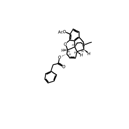 CC(=O)Oc1ccc2c3c1O[C@H]1[C@@H](OC(=O)Cc4ccccc4)C=C[C@H]4[C@@H](C2)N(C)CC[C@@]341